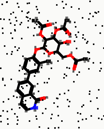 CC(=O)OCC1OC(Oc2ccc(-c3ccc4cc[nH]c(=O)c4c3)cc2C)C(OC(C)=O)C(OC(C)=O)C1O